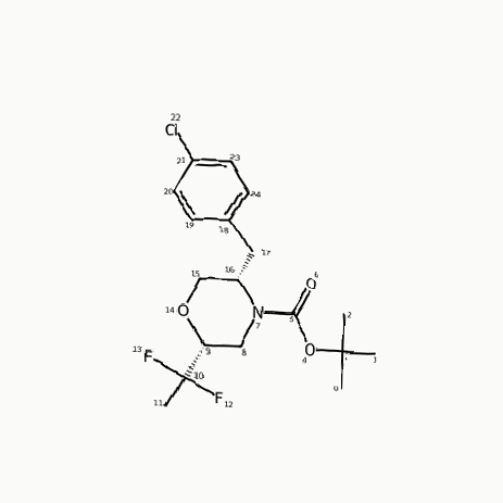 CC(C)(C)OC(=O)N1C[C@H](C(C)(F)F)OC[C@@H]1Cc1ccc(Cl)cc1